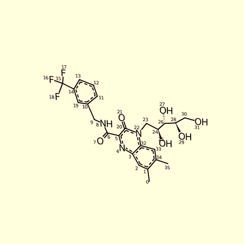 Cc1cc2nc(C(=O)NCc3cccc(C(F)(F)F)c3)c(=O)n(C[C@H](O)[C@H](O)[C@H](O)CO)c2cc1C